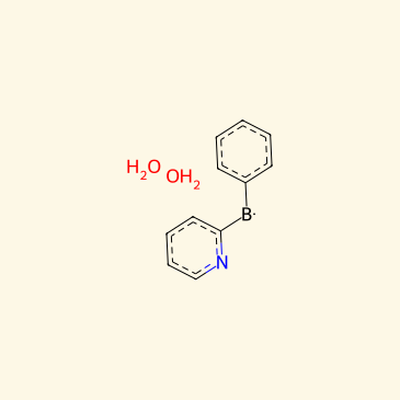 O.O.[B](c1ccccc1)c1ccccn1